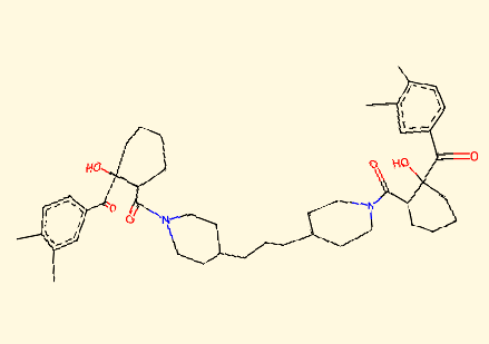 Cc1ccc(C(=O)C2(O)CCCCC2C(=O)N2CCC(CCCC3CCN(C(=O)C4CCCCC4(O)C(=O)c4ccc(C)c(C)c4)CC3)CC2)cc1C